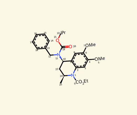 CCOC(=O)N1c2cc(OC)c(OC)cc2[C@H](N(Cc2ccccc2)C(=O)OC(C)C)C[C@@H]1C